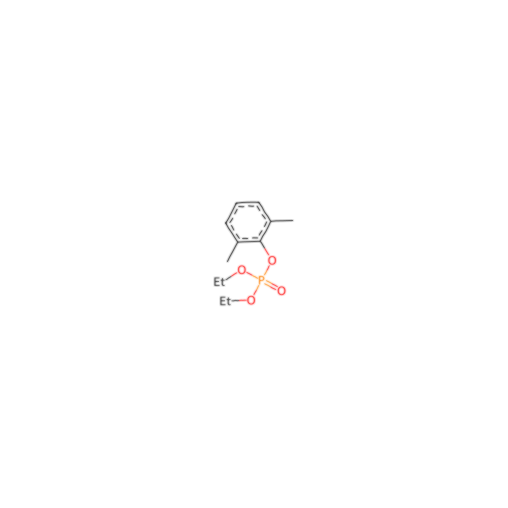 CCOP(=O)(OCC)Oc1c(C)cccc1C